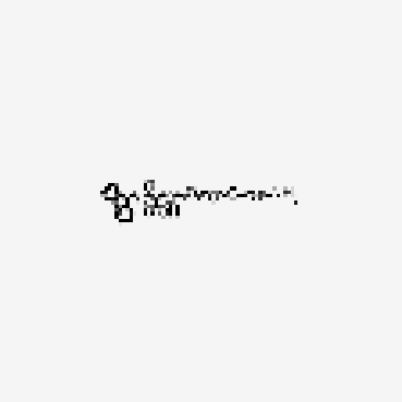 NCCOCCOCCOCCOCCOCC(C(=O)O)C(=O)OCC1c2ccccc2-c2ccccc21